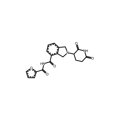 O=C1CCC(N2Cc3cccc(C(=O)NC(=O)c4ccco4)c3C2)C(=O)N1